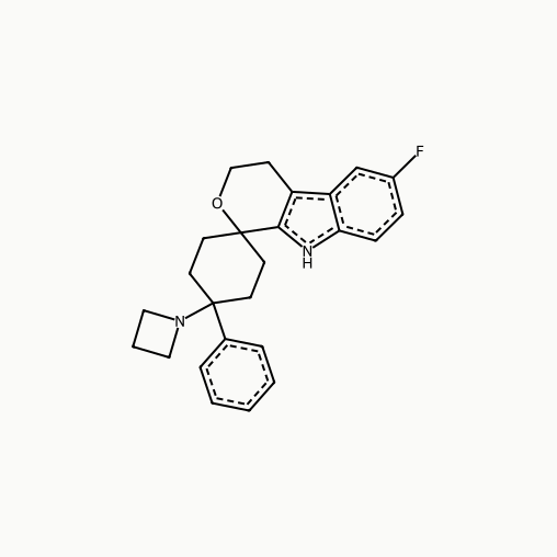 Fc1ccc2[nH]c3c(c2c1)CCOC31CCC(c2ccccc2)(N2CCC2)CC1